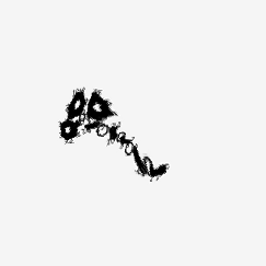 C#CCOCCOCCOCCOCC[PH](c1ccccc1)(c1ccccc1)c1ccccc1